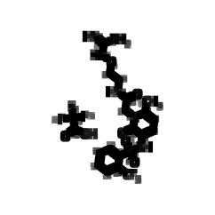 Cc1ccc(NS(=O)(=O)c2ccccc2C(F)(F)F)c(=O)n1CC(=O)NCCONC(=N)N.O=C(O)C(F)(F)F